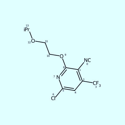 [C-]#[N+]c1c(C(F)(F)F)cc(Cl)nc1OCCOC(C)C